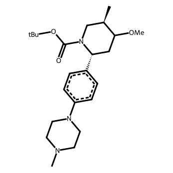 COC1C[C@H](c2ccc(N3CCN(C)CC3)cc2)N(C(=O)OC(C)(C)C)C[C@H]1C